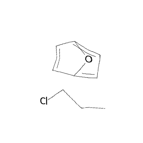 CCCCl.c1cc2ccc1o2